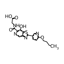 CCCCOc1ccc(-c2nc3cnc(C(=O)NCC(=O)O)c(O)c3s2)cn1